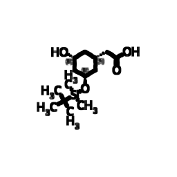 CC(C)(C)[Si](C)(C)O[C@H]1C[C@H](O)C[C@H](CC(=O)O)C1